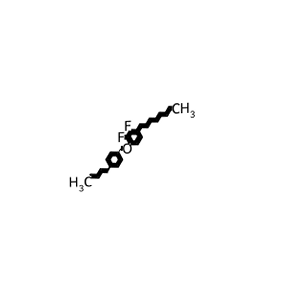 CCCCCCCCc1ccc(OC[C@H]2CC[C@H](CCCCC)CC2)c(F)c1F